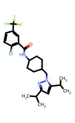 CC(C)c1cc(C(C)C)n(CC2CCC(NC(=O)c3cc(C(F)(F)F)ccc3Cl)CC2)n1